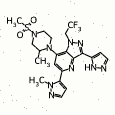 CC1CN(S(C)(=O)=O)CCN1c1cc(-c2ccnn2C)nc2c(-c3ccn[nH]3)nn(CC(F)(F)F)c12